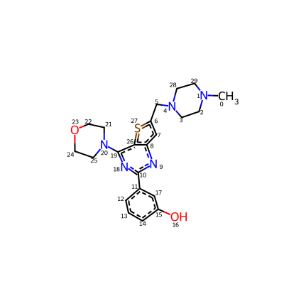 CN1CCN(Cc2cc3nc(-c4cccc(O)c4)nc(N4CCOCC4)c3s2)CC1